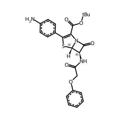 CC(C)(C)OC(=O)C1=C(c2ccc(N)cc2)S[C@H]2[C@H](NC(=O)COc3ccccc3)C(=O)N12